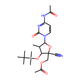 CC(=O)Nc1ccn(C2OC(C#N)(COC(C)=O)C(O[Si](C)(C)C(C)(C)C)C2C)c(=O)n1